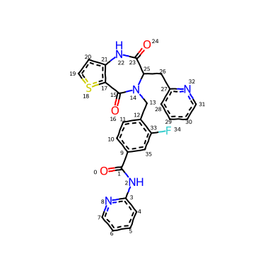 O=C(Nc1ccccn1)c1ccc(CN2C(=O)c3sccc3NC(=O)C2Cc2ccccn2)c(F)c1